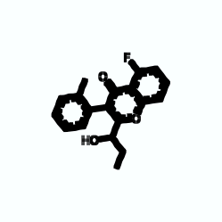 CCC(O)c1oc2cccc(F)c2c(=O)c1-c1ccccc1C